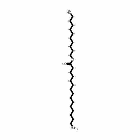 CCCCCCCCCCCCCCCC(=O)OCCCCCCCCCCO